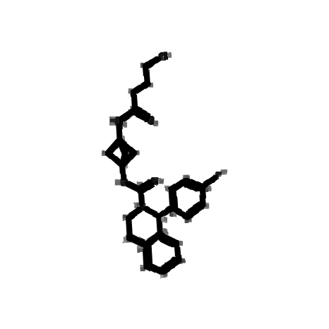 O=C(CCCCl)NC12CC(OC(=O)N3CCc4ccccc4[C@@H]3c3ccc(F)cc3)(C1)C2